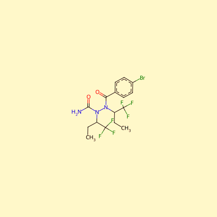 CCC(N(C(N)=O)N(C(=O)c1ccc(Br)cc1)C(CC)C(F)(F)F)C(F)(F)F